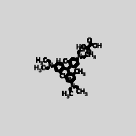 CCN(CC)c1ccc(C(c2ccc(N(CC)CC)cc2C)c2ccc(N(CC)CC)cc2C)c(C)c1.O=C(O)C(=O)O